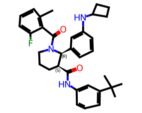 Cc1cccc(F)c1C(=O)N1CCC[C@H](C(=O)Nc2cccc(C(C)(C)C)c2)[C@@H]1c1cccc(NC2CCC2)c1